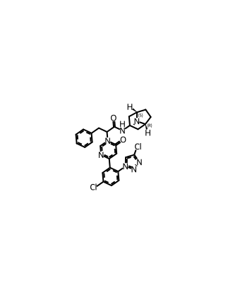 CN1[C@@H]2CC[C@H]1CC(NC(=O)C(Cc1ccccc1)n1cnc(-c3cc(Cl)ccc3-n3cc(Cl)nn3)cc1=O)C2